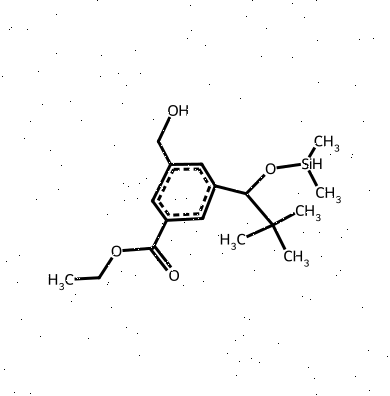 CCOC(=O)c1cc(CO)cc(C(O[SiH](C)C)C(C)(C)C)c1